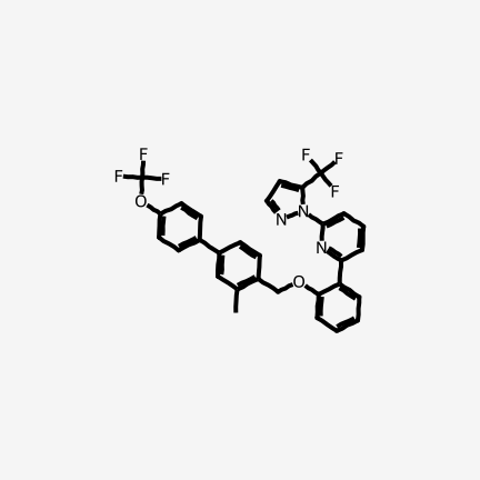 Cc1cc(-c2ccc(OC(F)(F)F)cc2)ccc1COc1ccccc1-c1cccc(-n2nccc2C(F)(F)F)n1